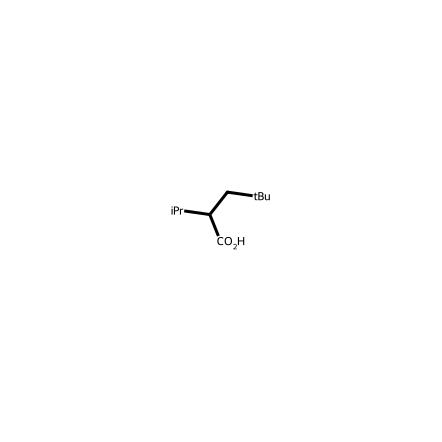 CC(C)C(CC(C)(C)C)C(=O)O